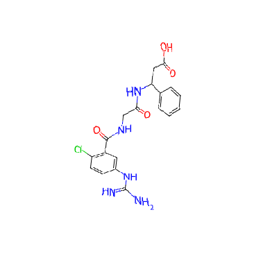 N=C(N)Nc1ccc(Cl)c(C(=O)NCC(=O)NC(CC(=O)O)c2ccccc2)c1